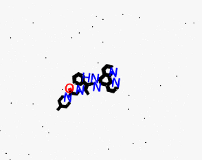 Cc1c(-c2nc3c4cccnc4c4ncccc4c3[nH]2)c2ccccc2n1CC(=O)N1CCC(C)CC1